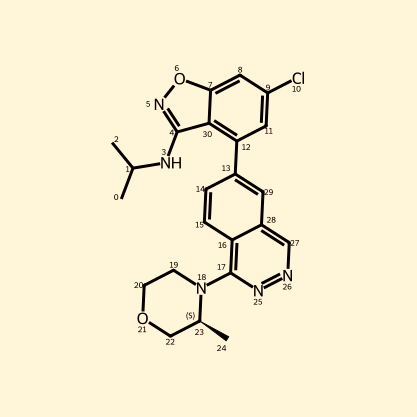 CC(C)Nc1noc2cc(Cl)cc(-c3ccc4c(N5CCOC[C@@H]5C)nncc4c3)c12